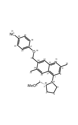 COC[C@H]1CCCN1c1cc(C)nc2cc(COc3ccc(C#N)cc3)c(C)cc12